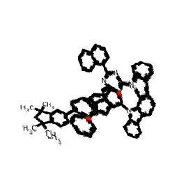 CC1(C)CC(C)(C)c2cc(-c3ccc(-c4cccc(-n5c6ccccc6c6ccc7c8ccccc8n(-c8nc(-c9ccc(-c%10ccccc%10)cc9)nc(-c9cccc%10ccccc9%10)n8)c7c65)c4)cc3)ccc21